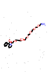 COC(=O)C(c1ccccc1)C1CCCCN1C(=O)CCOCCOCCOCCOCCOCCOCCN